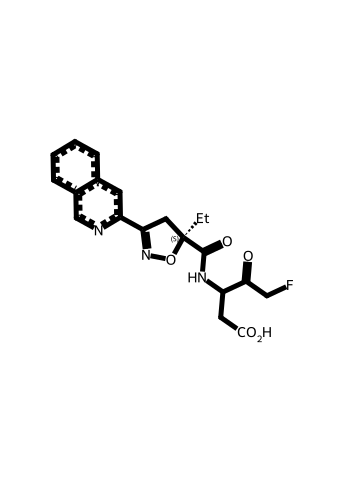 CC[C@@]1(C(=O)NC(CC(=O)O)C(=O)CF)CC(c2cc3ccccc3cn2)=NO1